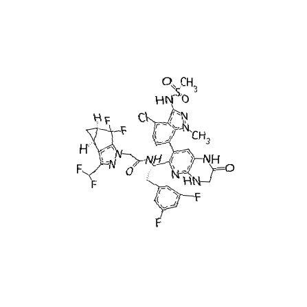 Cn1nc(NS(C)(=O)=O)c2c(Cl)ccc(-c3cc4c(nc3[C@H](Cc3cc(F)cc(F)c3)NC(=O)Cn3nc(C(F)F)c5c3C(F)(F)[C@@H]3C[C@H]53)NCC(=O)N4)c21